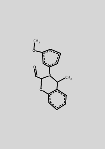 COc1cccc(N2C(C=O)Oc3ccccc3C2C)c1